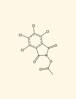 CC(=O)ON1C(=O)c2c(Cl)c(Cl)c(Cl)c(Cl)c2C1=O